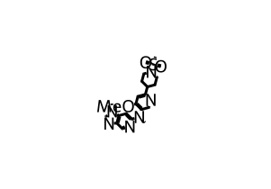 COc1cc(C2CCN(S(C)(=O)=O)CC2)ncc1N(C)c1cc2c(cn1)ncn2C